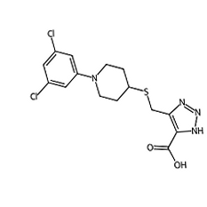 O=C(O)c1[nH]nnc1CSC1CCN(c2cc(Cl)cc(Cl)c2)CC1